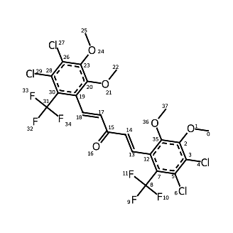 COc1c(Cl)c(Cl)c(C(F)(F)F)c(/C=C/C(=O)/C=C/c2c(OC)c(OC)c(Cl)c(Cl)c2C(F)(F)F)c1OC